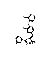 O=C(O)C(=Cc1ccc(Oc2ccccc2Br)c(F)c1)NC(=O)c1cccc(F)c1